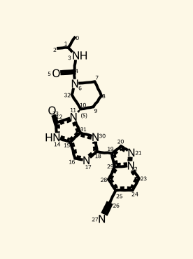 CC(C)NC(=O)N1CCC[C@H](n2c(=O)[nH]c3cnc(-c4cnn5ccc(C#N)cc45)nc32)C1